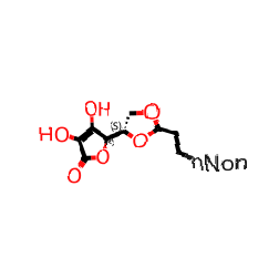 CCCCCCCCCCCC1OC[C@@H]([C@H]2OC(=O)C(O)=C2O)O1